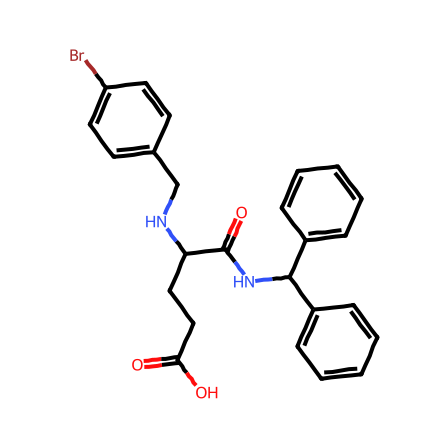 O=C(O)CCC(NCc1ccc(Br)cc1)C(=O)NC(c1ccccc1)c1ccccc1